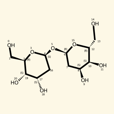 OC[C@H]1O[C@@H](O[C@@H]2C[C@H](O)[C@H](O)[C@@H](CO)O2)C[C@H](O)[C@@H]1O